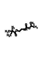 CC(C)OC(=O)NCCOC(=O)C(C)(C)C